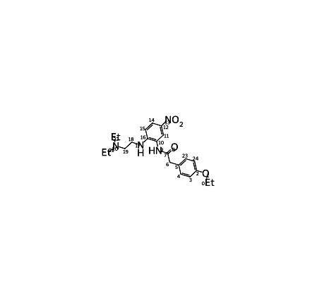 CCOc1ccc(CC(=O)Nc2cc([N+](=O)[O-])ccc2NCCN(CC)CC)cc1